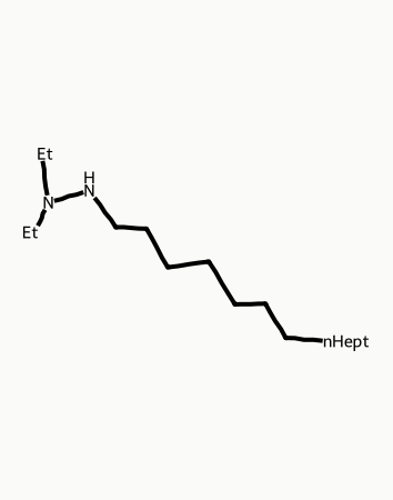 CCCCCCCCCCCCCCNN(CC)CC